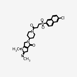 C/N=C1\CC2=C(CN(C3CCN(C(=O)CCS(=O)(=O)c4ccc5cc(Cl)ccc5c4)CC3)C2=O)N1C